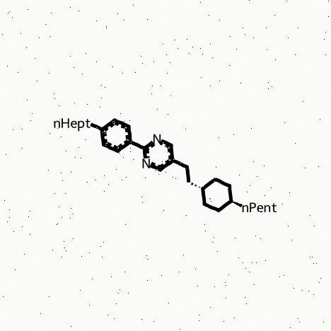 CCCCCCCc1ccc(-c2ncc(CC[C@H]3CC[C@H](CCCCC)CC3)cn2)cc1